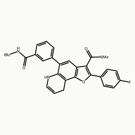 CNC(=O)c1c(-c2ccc(F)cc2)oc2c3c(c(-c4cccc(C(=O)NC(C)(C)C)c4)cc12)NC=CC3